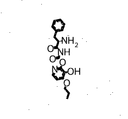 CCCOc1ccnc(OC(=O)NC(=O)[C@@H](N)Cc2ccccc2)c1O